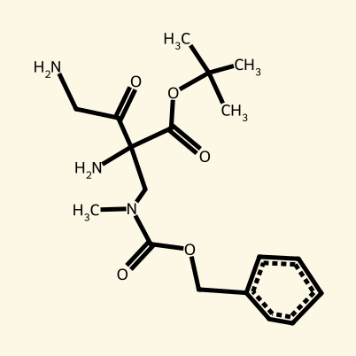 CN(CC(N)(C(=O)CN)C(=O)OC(C)(C)C)C(=O)OCc1ccccc1